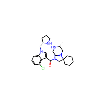 C[C@@H]1CN(C2(CNC(=O)c3cn(C[C@@H]4CCCN4)c4cccc(Cl)c34)CCCCC2)CCN1